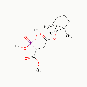 CCOP(=O)(OCC)C(CC(=O)OC1CC2CCC1(C)C2(C)C)C(=O)OC(C)(C)C